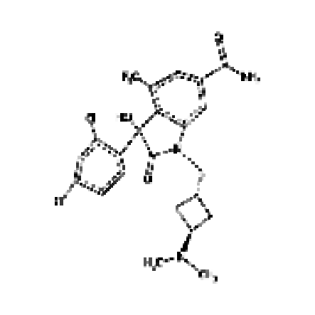 CN(C)[C@H]1C[C@H](CN2C(=O)C(O)(c3ccc(Cl)cc3Cl)c3c2cc(C(N)=O)cc3C(F)(F)F)C1